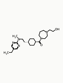 CCc1cnc(N(C)CC[C@H]2CC[C@H](C(=O)N3CCCN(CCO)CC3)CC2)nc1